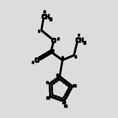 CCOC(=O)C(CC)c1ccsc1